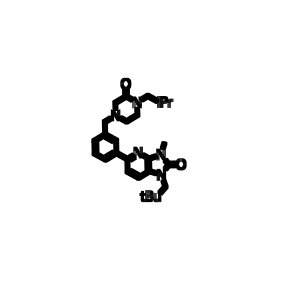 CC(C)CN1CCN(Cc2cccc(-c3ccc4c(n3)n(C)c(=O)n4CC(C)(C)C)c2)CC1=O